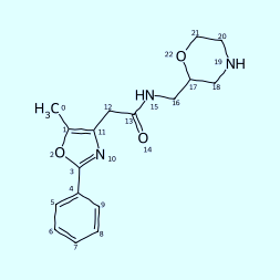 Cc1oc(-c2ccccc2)nc1CC(=O)NCC1CNCCO1